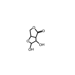 O=C1OCC2OC(O)C(O)C12